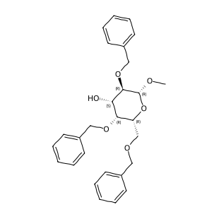 CO[C@@H]1O[C@H](COCc2ccccc2)[C@H](OCc2ccccc2)[C@H](O)[C@H]1OCc1ccccc1